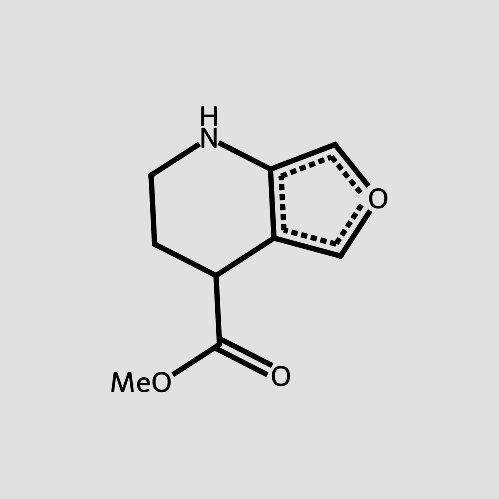 COC(=O)C1CCNc2cocc21